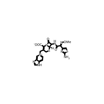 CON=C(C(=O)NC1C(=O)N2C(C(=O)[O-])=C(C[n+]3ccc4[nH]cnc4c3)CS[C@@H]12)c1csc(N)n1